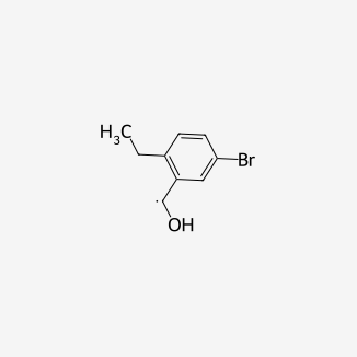 CCc1ccc(Br)cc1[CH]O